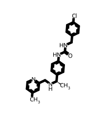 Cc1ccnc(CN[C@@H](C)c2ccc(NC(=O)NCc3ccc(Cl)cc3)cc2)c1